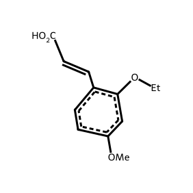 CCOc1cc(OC)ccc1C=CC(=O)O